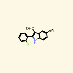 CC(C)c1ccc2[nH]c(-c3ccccc3F)c(C=O)c2c1